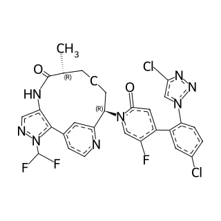 C[C@@H]1CCC[C@@H](n2cc(F)c(-c3cc(Cl)ccc3-n3cc(Cl)nn3)cc2=O)c2cc(ccn2)-c2c(cnn2C(F)F)NC1=O